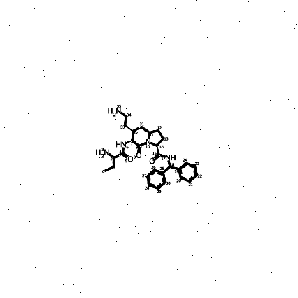 CCC(N)C(=O)N[C@@H]1C(=O)N2C(CC[C@H]2C(=O)NC(c2ccccc2)c2ccccc2)C[C@@H]1CCN